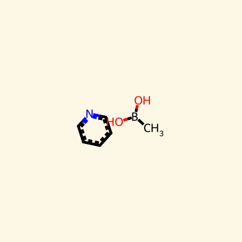 CB(O)O.c1ccncc1